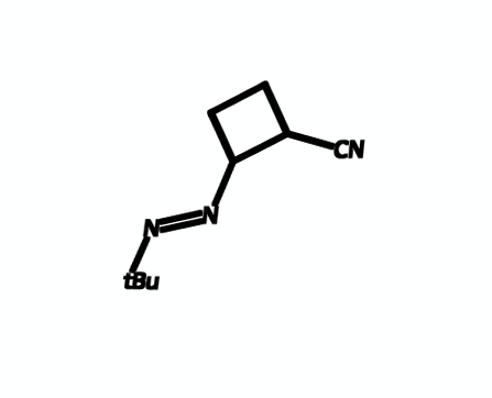 CC(C)(C)N=NC1CCC1C#N